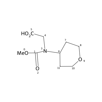 COC(=O)N(CC(=O)O)C1CCOCC1